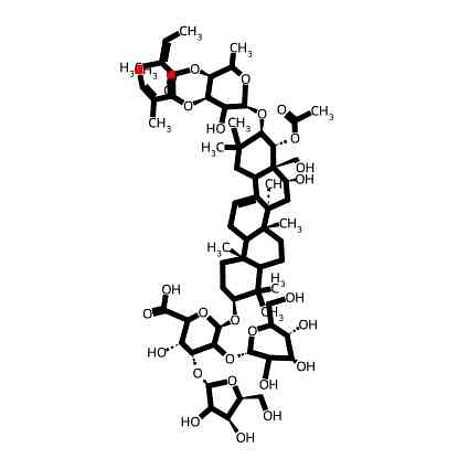 C/C=C(/C)C(=O)O[C@@H]1C(O)[C@H](O[C@H]2[C@H](OC(C)=O)[C@@]3(CO)C(CC2(C)C)C2=CCC4[C@@]5(C)CC[C@H](O[C@@H]6OC(C(=O)O)[C@@H](O)[C@@H](O[C@@H]7O[C@@H](CO)[C@@H](O)C7O)C6O[C@@H]6OC(CO)[C@H](O)[C@@H](O)C6O)C(C)(C)C5CC[C@@]4(C)[C@]2(C)C[C@H]3O)OC(C)[C@@H]1OC(=O)/C(C)=C\C